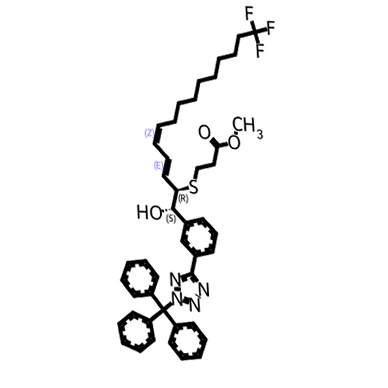 COC(=O)CCS[C@H](/C=C/C=C\CCCCCCCCC(F)(F)F)[C@@H](O)c1cccc(-c2nnn(C(c3ccccc3)(c3ccccc3)c3ccccc3)n2)c1